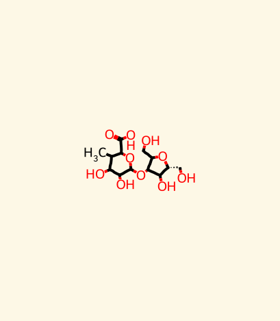 CC1C(C(=O)O)OC(OC2C(CO)O[C@H](CO)C2O)C(O)C1O